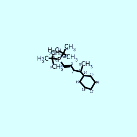 CC(CC=CP(C(C)(C)C)C(C)(C)C)C1CCCCC1